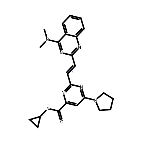 CN(C)c1nc(/C=C/c2nc(C(=O)NC3CC3)cc(N3CCCC3)n2)nc2ccccc12